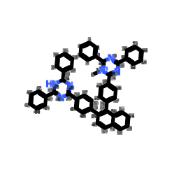 C[n+]1c(-c2ccccc2)nc(-c2ccccc2)nc1-c1ccc(-c2c(-c3ccc(C4=NC(c5ccccc5)NC(c5ccccc5)=N4)cc3)ccc3ccccc23)cc1